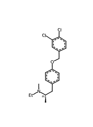 CCN(C)[C@H](C)Cc1ccc(OCc2ccc(Cl)c(Cl)c2)cc1